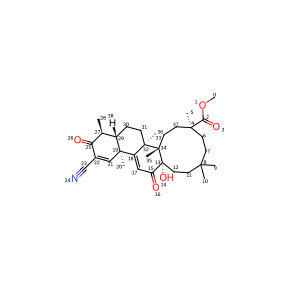 COC(=O)[C@@]1(C)CCC(C)(C)CC[C@@]2(O)C(=O)C=C3[C@@]4(C)C=C(C#N)C(=O)[C@@H](C)[C@@H]4CC[C@@]3(C)[C@]2(C)CC1